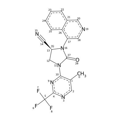 Cc1cnc(C(F)(F)F)nc1N1C[C@@H](C#N)N(c2cncc3ccccc23)C1=O